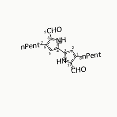 CCCCCc1cc(-c2cc(CCCCC)c(C=O)[nH]2)[nH]c1C=O